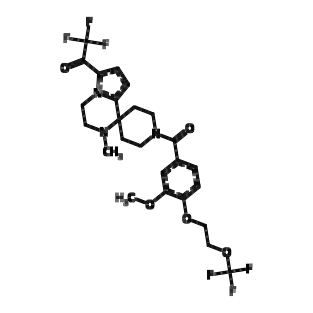 COc1cc(C(=O)N2CCC3(CC2)c2ccc(C(=O)C(F)(F)F)n2CCN3C)ccc1OCCOC(F)(F)F